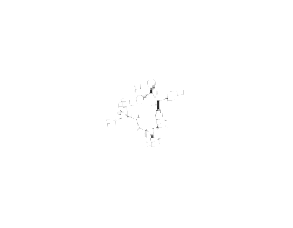 CCN(CC)CCN(CC)CC.O=C(O)C(=O)O